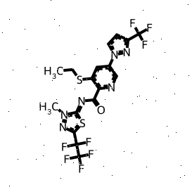 CCSc1cc(-n2ccc(C(F)(F)F)n2)cnc1C(=O)/N=c1\sc(C(F)(F)C(F)(F)F)nn1C